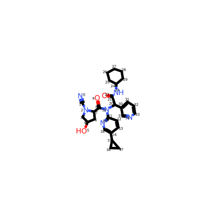 N#CN1CC(O)CC1C(=O)N(c1ccc(C2CC2)cn1)C(C(=O)NC1CCCCC1)c1cccnc1